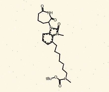 CN(CCCCCCCc1cccc2c1n(C)c(=O)n2C1CCCC(=O)NC1=O)C(=O)OC(C)(C)C